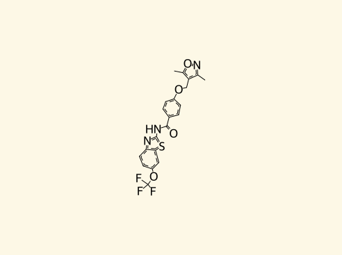 Cc1noc(C)c1COc1ccc(C(=O)Nc2nc3ccc(OC(F)(F)F)cc3s2)cc1